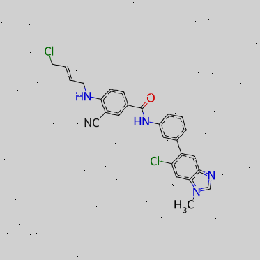 Cn1cnc2cc(-c3cccc(NC(=O)c4ccc(NC/C=C/CCl)c(C#N)c4)c3)c(Cl)cc21